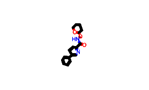 O=C(NOC1CCCCO1)c1ccc(-c2ccccc2)cn1